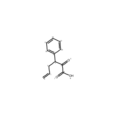 C=CCC(C(=O)C(=O)O)c1ccccc1